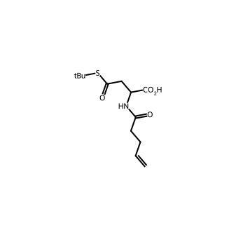 C=CCCC(=O)NC(CC(=O)SC(C)(C)C)C(=O)O